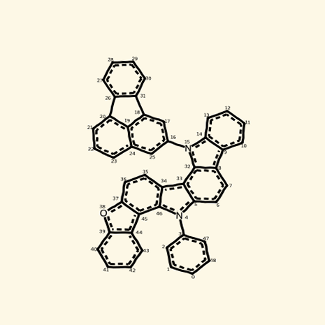 c1ccc(-n2c3ccc4c5ccccc5n(-c5cc6c7c(cccc7c5)-c5ccccc5-6)c4c3c3ccc4oc5ccccc5c4c32)cc1